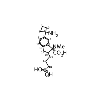 CN[C@@]1(C(=O)O)c2cc(C3(N)CCC3)ccc2CC1CCCB(O)O